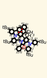 CC(C)(C)c1ccc(N(c2ccc(C(C)(C)C)cc2)c2ccc3c4c2c2oc5ccccc5c2n4B2c4ccc(C(C)(C)C)cc4N(c4ccc(C(C)(C)C)cc4-c4ccccc4)c4cc5c(c-3c42)C(C)(C)c2ccccc2-5)cc1